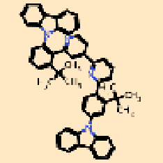 CC(C)(C)c1cc(-n2c3ccccc3c3ccccc32)ccc1-c1cccc(-c2ccnc(-c3c(-n4c5ccccc5c5ccccc54)cccc3C(C)(C)C)c2)n1